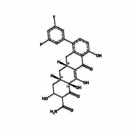 NC(=O)C1C(=O)[C@@]2(O)C(O)=C3C(=O)c4c(O)ccc(-c5cc(F)cc(F)c5)c4C[C@H]3C[C@H]2CC1O